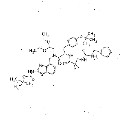 CCOC(CN(Cc1cccc2sc(NC(=O)OC(C)(C)C)nc12)C(=O)C(Cc1ccc(OC(C)(C)C)cc1)NC(=O)C1(CNC(=O)NCc2ccccc2)CC1)OCC